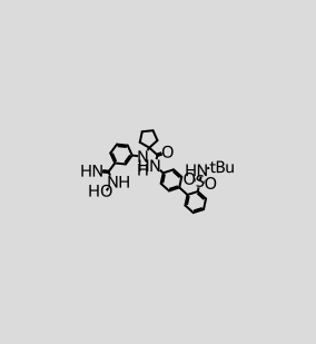 CC(C)(C)NS(=O)(=O)c1ccccc1-c1ccc(NC(=O)C2(Nc3cccc(C(=N)NO)c3)CCCC2)cc1